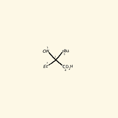 CCCCC(CC)(N=O)C(=O)O